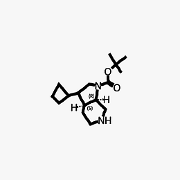 CC(C)(C)OC(=O)N1CC(C2CCC2)[C@@H]2CCNC[C@@H]21